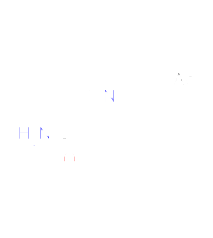 CC(=O)CCCN1CCC(C(N)=O)CC1